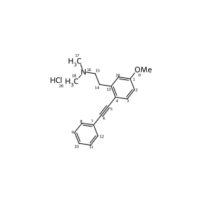 COc1ccc(C#Cc2ccccc2)c(CCN(C)C)c1.Cl